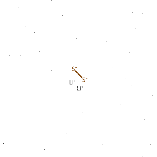 [Li+].[Li+].[S-][S-]